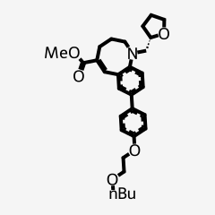 CCCCOCCOc1ccc(-c2ccc3c(c2)/C=C(/C(=O)OC)CCCN3C[C@@H]2CCCO2)cc1